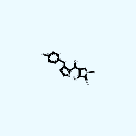 CN1CC(C(=O)c2sccc2Cc2ccc(F)cc2)=C(O)C1=O